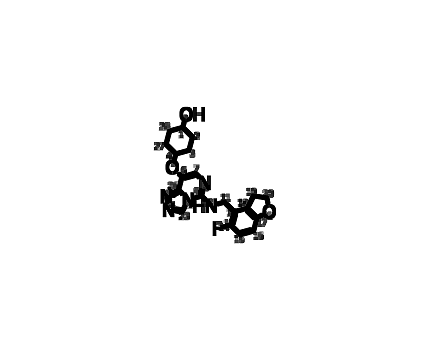 OC1CCC(Oc2cnc(NCc3c(F)ccc4c3CCO4)n3cnnc23)CC1